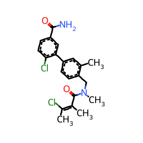 C/C(Cl)=C(\C)C(=O)N(C)Cc1ccc(-c2cc(C(N)=O)ccc2Cl)cc1C